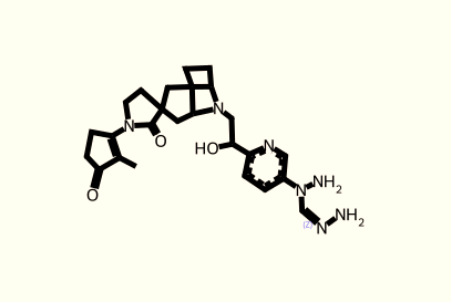 CC1=C(N2CCC3(CC4N(CC(O)c5ccc(N(N)/C=N\N)cn5)C5CCC54C3)C2=O)CCC1=O